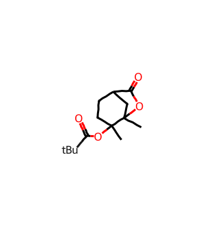 CC(C)(C)C(=O)OC1(C)CCC2CC1(C)OC2=O